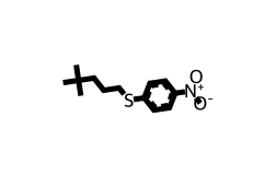 CC(C)(C)CCCSc1ccc([N+](=O)[O-])cc1